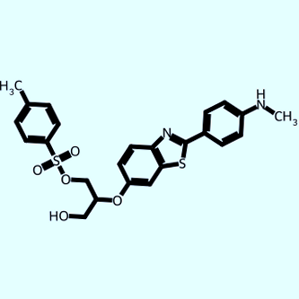 CNc1ccc(-c2nc3ccc(OC(CO)COS(=O)(=O)c4ccc(C)cc4)cc3s2)cc1